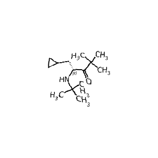 CC(C)(C)N[C@H](CC1CC1)C(=O)C(C)(C)C